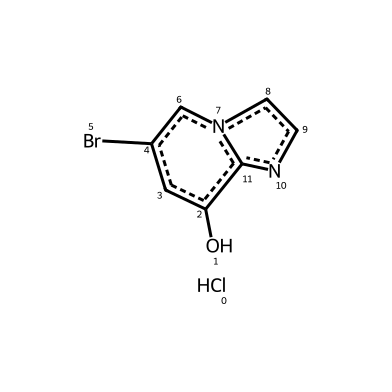 Cl.Oc1cc(Br)cn2ccnc12